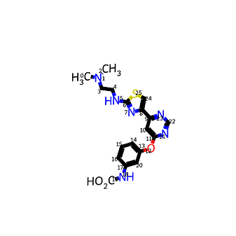 CN(C)CCNc1nc(-c2cc(Oc3cccc(NC(=O)O)c3)ncn2)cs1